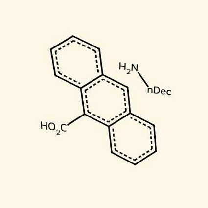 CCCCCCCCCCN.O=C(O)c1c2ccccc2cc2ccccc12